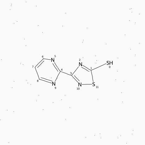 Sc1nc(-c2ncccn2)ns1